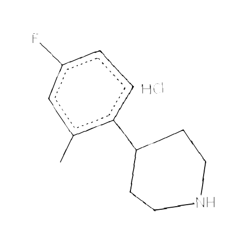 Cc1cc(F)ccc1C1CCNCC1.Cl